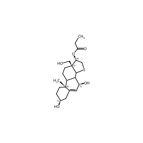 CCC(=O)O[C@H]1CSC2C3C(CC[C@@]21CO)[C@@]1(C)CC[C@H](O)CC1=C[C@@H]3O